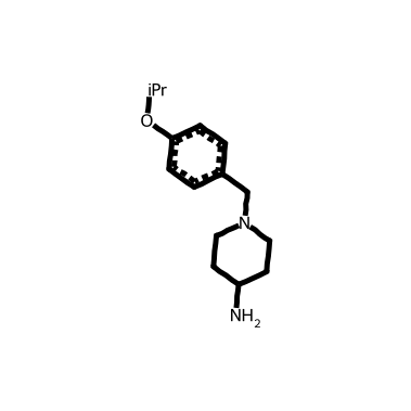 CC(C)Oc1ccc(CN2CCC(N)CC2)cc1